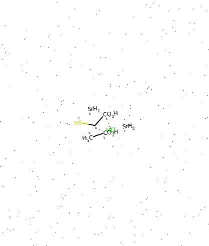 CC(=O)O.Cl.O=C(O)CS.[SrH2].[SrH2]